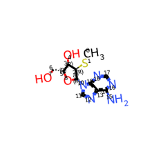 CS[C@@H]1[C@H](O)[C@@H](CO)O[C@H]1n1cnc2c(N)ncnc21